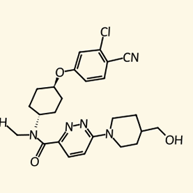 [2H]CN(C(=O)c1ccc(N2CCC(CO)CC2)nn1)[C@H]1CC[C@H](Oc2ccc(C#N)c(Cl)c2)CC1